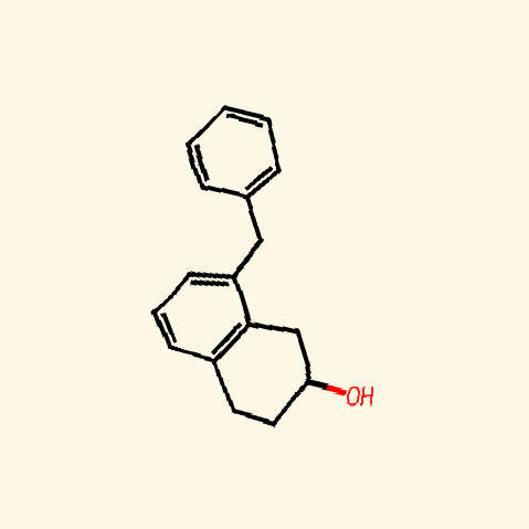 OC1CCc2cccc(Cc3ccccc3)c2C1